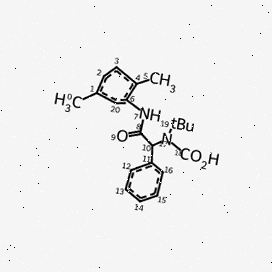 Cc1ccc(C)c(NC(=O)C(c2ccccc2)N(C(=O)O)C(C)(C)C)c1